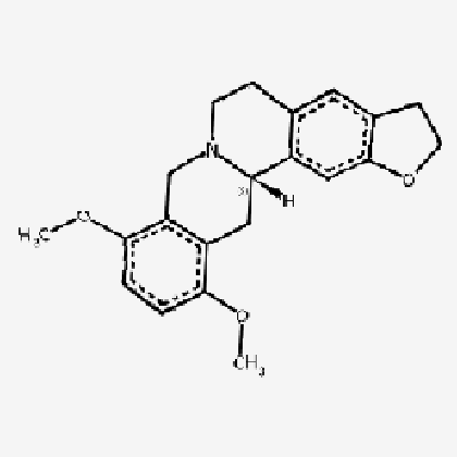 COc1ccc(OC)c2c1C[C@H]1c3cc4c(cc3CCN1C2)CCO4